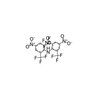 O=[N+]([O-])c1cc([N+](=O)[O-])c(Nc2c(C(F)(F)F)cc([N+](=O)[O-])cc2C(F)(F)F)c(C(F)(F)F)c1